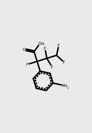 Nc1cccc(C(F)(C(=O)O)C(F)(F)C(F)F)c1